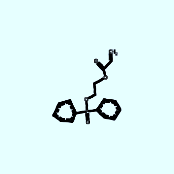 C=CC(=O)OCCOP(=O)(c1ccccc1)c1ccccc1